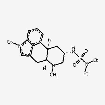 CCN(CC)S(=O)(=O)N[C@H]1C[C@@H]2c3cccc4c3c(cn4CC)C[C@@H]2N(C)C1